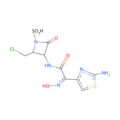 Nc1nc(/C(=N/O)C(=O)NC2C(=O)N(S(=O)(=O)O)C2CCl)cs1